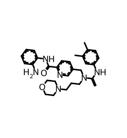 C=C(Nc1ccc(C)c(C)c1)N(CCCN1CCOCC1)Cc1ccc(C(=O)Nc2ccccc2N)nc1